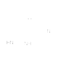 [NH]NC1=NCCO1